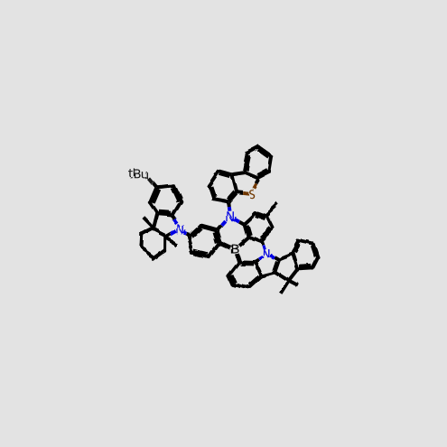 Cc1cc2c3c(c1)-n1c4c(c5cccc(c51)B3c1ccc(N3c5ccc(C(C)(C)C)cc5C5(C)CCCCC35C)cc1N2c1cccc2c1sc1ccccc12)C(C)(C)c1ccccc1-4